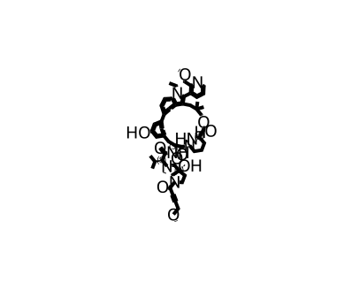 CCn1c(-c2cccnc2COC)c2c3cc(ccc31)-c1cc(O)cc(c1)C[C@H](NC(=O)[C@H](C(C)C)N(C)C(=O)[C@@]1(O)CCN(C(=O)C#CCOC)C1)C(=O)N1CCC[C@H](N1)C(=O)OCC(C)(C)C2